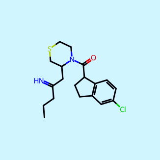 CCCC(=N)CC1CSCCN1C(=O)C1CCc2cc(Cl)ccc21